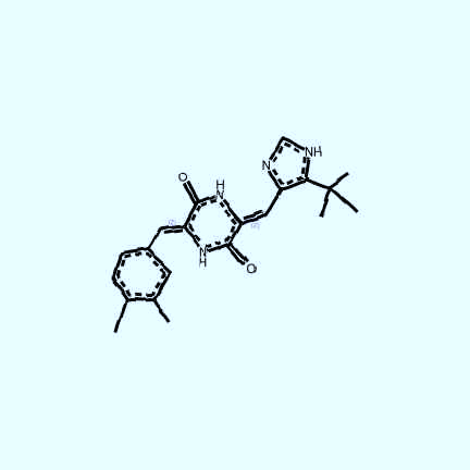 Cc1ccc(/C=c2\[nH]c(=O)/c(=C/c3nc[nH]c3C(C)(C)C)[nH]c2=O)cc1C